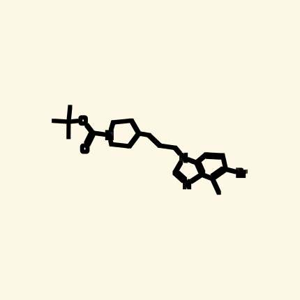 Cc1c(Br)ccc2c1ncn2CCCC1CCN(C(=O)OC(C)(C)C)CC1